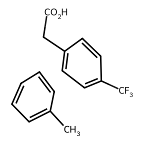 Cc1ccccc1.O=C(O)Cc1ccc(C(F)(F)F)cc1